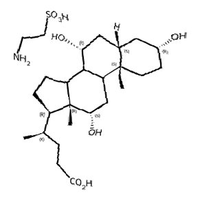 C[C@H](CCC(=O)O)[C@H]1CCC2C3C(C[C@H](O)[C@@]21C)[C@@]1(C)CC[C@@H](O)C[C@H]1C[C@H]3O.NCCS(=O)(=O)O